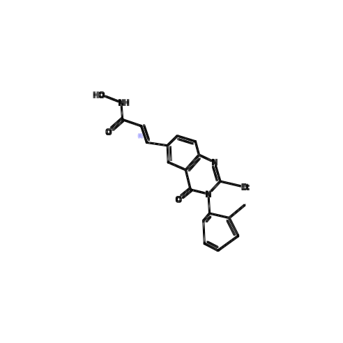 CCc1nc2ccc(/C=C/C(=O)NO)cc2c(=O)n1-c1ccccc1C